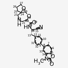 Cn1c(=O)oc2ccc(-c3ccc(C[C@@H](C#N)NC(=O)[C@@H]4CNCC5(CCCO5)CO4)cc3)cc21